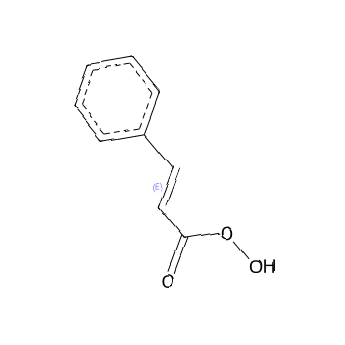 O=C(/C=C/c1ccccc1)OO